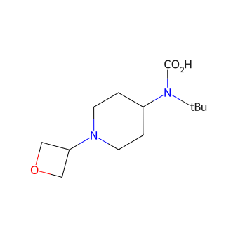 CC(C)(C)N(C(=O)O)C1CCN(C2COC2)CC1